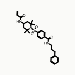 C=CC(=O)NC1CC(C)(C)N(S(=O)(=O)c2ccc(C(=O)NCCCc3ccccc3)cc2)C(C)(C)C1